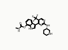 CNC(=O)Oc1cccc2c(-c3nc(N[C@H]4CCCNC4)ncc3C(F)(F)F)c[nH]c12